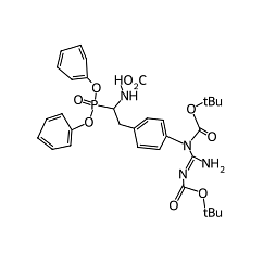 CC(C)(C)OC(=O)N=C(N)N(C(=O)OC(C)(C)C)c1ccc(CC(NC(=O)O)P(=O)(Oc2ccccc2)Oc2ccccc2)cc1